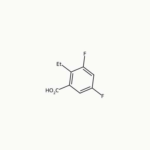 CCc1c(F)cc(F)cc1C(=O)O